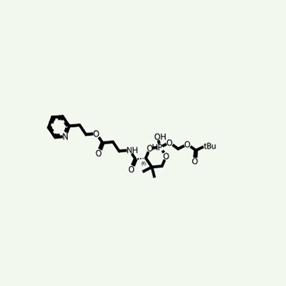 CC(C)(C)C(=O)OCO[PH]1(O)OCC(C)(C)[C@H](C(=O)NCCC(=O)OCCc2ccccn2)O1